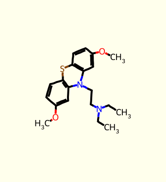 CCN(CC)CCN1c2cc(OC)ccc2Sc2ccc(OC)cc21